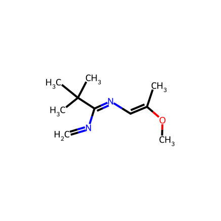 C=N/C(=N\C=C(/C)OC)C(C)(C)C